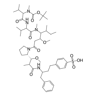 CCC(C)C(C(CC(=O)N1CCC[C@H]1C(OC)C(C)C(=O)NC(CCc1ccc(S(=O)(=O)O)cc1)Cc1ccccc1)OC)N(C)C(=O)C(NC(=O)C(C(C)C)N(C)C(=O)OC(C)(C)C)C(C)C